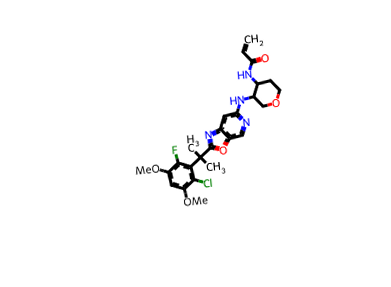 C=CC(=O)NC1CCOCC1Nc1cc2nc(C(C)(C)c3c(F)c(OC)cc(OC)c3Cl)oc2cn1